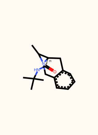 CC1N2Cc3ccccc3C[C@]12C(=O)NC(C)(C)C